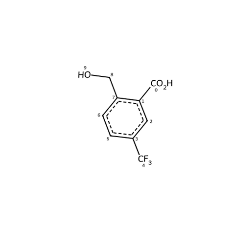 O=C(O)c1cc(C(F)(F)F)ccc1CO